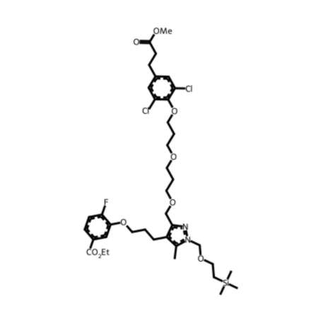 CCOC(=O)c1ccc(F)c(OCCCc2c(COCCCOCCCOc3c(Cl)cc(CCC(=O)OC)cc3Cl)nn(COCC[Si](C)(C)C)c2C)c1